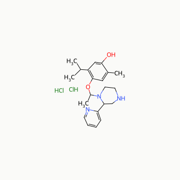 Cc1cc(OC(C)N2CCNCC2c2ccccn2)c(C(C)C)cc1O.Cl.Cl